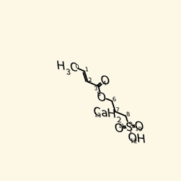 CC=CC(=O)OCCCS(=O)(=O)O.[CaH2]